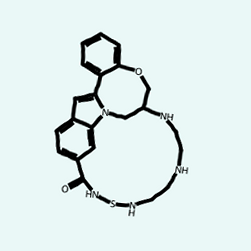 O=C1NSNCCNCCNC2COc3ccccc3-c3cc4ccc1cc4n3C2